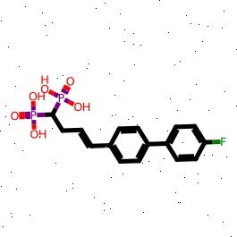 O=P(O)(O)C(CC=Cc1ccc(-c2ccc(F)cc2)cc1)P(=O)(O)O